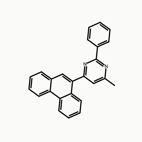 Cc1cc(-c2cc3ccccc3c3ccccc23)nc(-c2ccccc2)n1